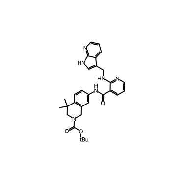 CC(C)(C)OC(=O)N1Cc2cc(NC(=O)c3cccnc3NCc3c[nH]c4ncccc34)ccc2C(C)(C)C1